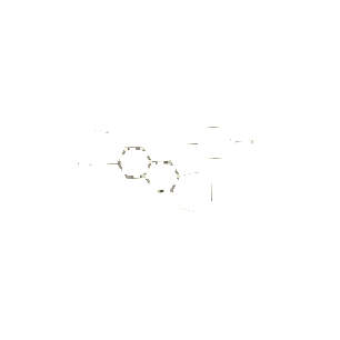 COc1cc2nc3c(c(NC4CCN(C(C)C)CC4)c2cc1OC)CCCCC3